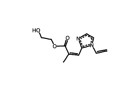 C=Cn1ccnc1C=C(C)C(=O)OCCO